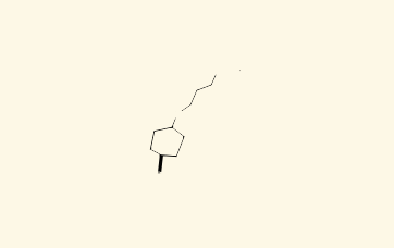 CCCCCCCCCSC1CCC(=O)CC1